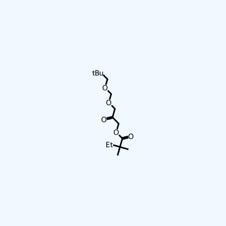 CCC(C)(C)C(=O)OCC(=O)COCOCC(C)(C)C